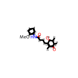 COc1ccccc1NC(=O)CCCC1=C(C)C(=O)C(C)C(C)C1=O